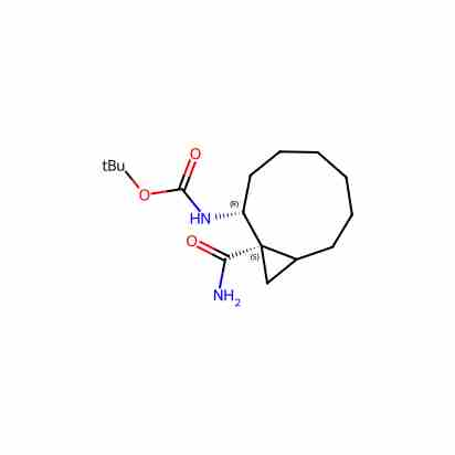 CC(C)(C)OC(=O)N[C@@H]1CCCCCCC2C[C@]21C(N)=O